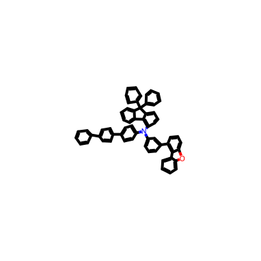 c1ccc(-c2ccc(-c3ccc(N(c4cccc(-c5cccc6oc7ccccc7c56)c4)c4cccc5c4-c4ccccc4C5(c4ccccc4)c4ccccc4)cc3)cc2)cc1